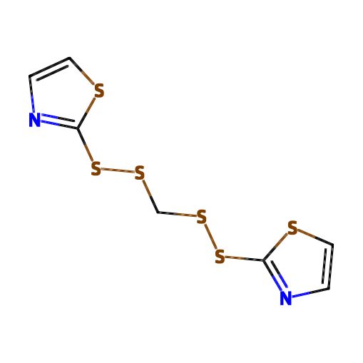 c1csc(SSCSSc2nccs2)n1